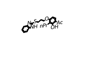 CCCc1c(OCCCSc2nc3ccccc3[nH]2)ccc(C(C)=O)c1O